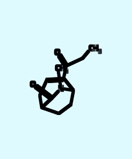 CCC(=O)C1=CCC2CCC1N(C)C2=O